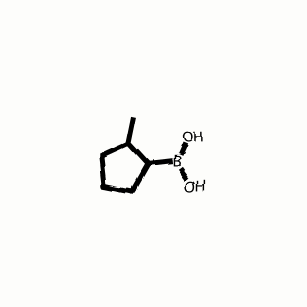 CC1CCCC1B(O)O